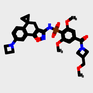 COCC1CN(C(=O)c2cc(OC)c(S(=O)(=O)Nc3noc4c3CC3(CC3)c3ccc(N5CCC5)cc3-4)c(OC)c2)C1